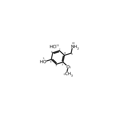 COc1cc(O)ccc1CN.Cl